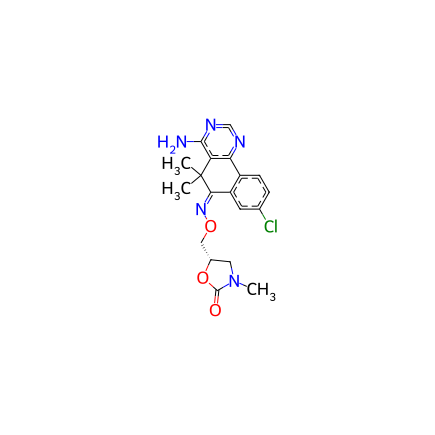 CN1C[C@@H](CO/N=C2\c3cc(Cl)ccc3-c3ncnc(N)c3C2(C)C)OC1=O